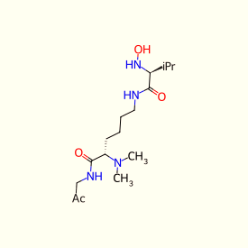 CC(=O)CNC(=O)[C@H](CCCCNC(=O)[C@@H](NO)C(C)C)N(C)C